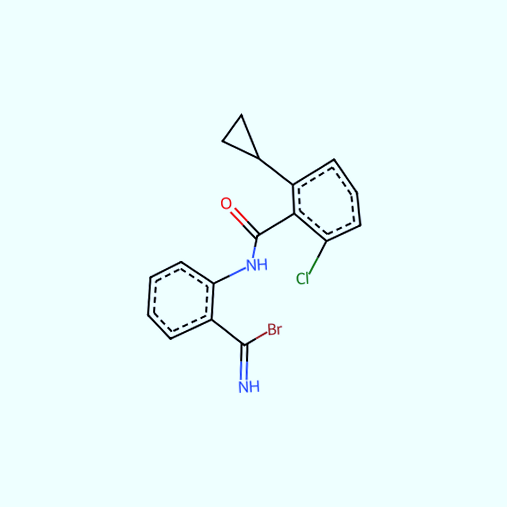 N=C(Br)c1ccccc1NC(=O)c1c(Cl)cccc1C1CC1